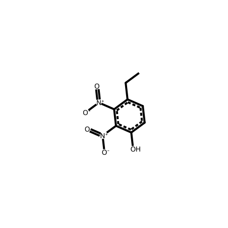 CCc1ccc(O)c([N+](=O)[O-])c1[N+](=O)[O-]